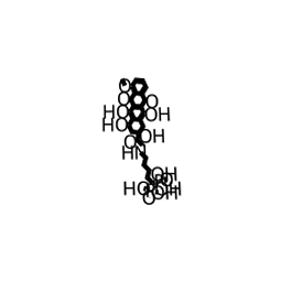 COc1cccc2c1C(=O)c1c(O)c3c(c(O)c1C2=O)CC(O)(C(=O)CNCCCCC(P(=O)(O)O)P(=O)(O)O)CC3O